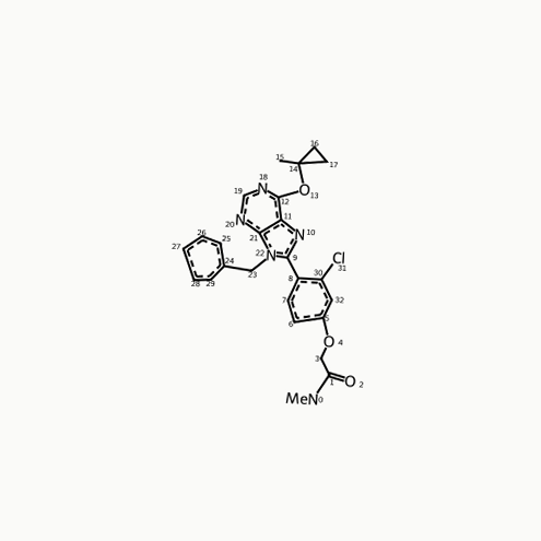 CNC(=O)COc1ccc(-c2nc3c(OC4(C)CC4)ncnc3n2Cc2ccccc2)c(Cl)c1